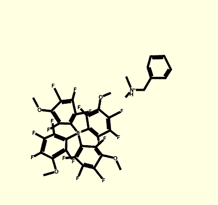 COc1c(F)c(F)c(F)c([B-](c2c(F)c(F)c(F)c(OC)c2F)(c2c(F)c(F)c(F)c(OC)c2F)c2c(F)c(F)c(F)c(OC)c2F)c1F.C[NH+](C)Cc1ccccc1